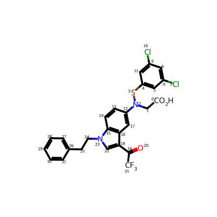 O=C(O)CN(Sc1cc(Cl)cc(Cl)c1)c1ccc2c(c1)c(C(=O)C(F)(F)F)cn2CCc1ccccc1